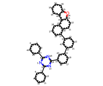 c1ccc(-c2nc(-c3ccccc3)nc(-c3cccc(-c4cccc(-c5cccc6c5ccc5oc7ccccc7c56)c4)c3)n2)cc1